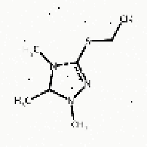 CC1N(C)N=C(SCC#N)N1C